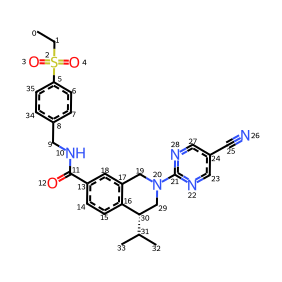 CCS(=O)(=O)c1ccc(CNC(=O)c2ccc3c(c2)CN(c2ncc(C#N)cn2)C[C@@H]3C(C)C)cc1